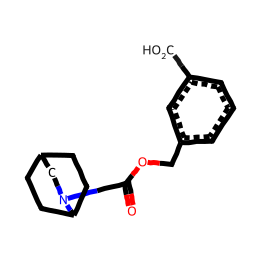 O=C(O)c1cccc(COC(=O)N2CC3CCC2CC3)c1